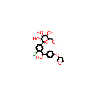 OCC1O[C@@H](c2ccc(Cl)c(C(O)c3ccc(OC4CCOC4)cc3)c2)[C@H](O)[C@@H](O)[C@@H]1O